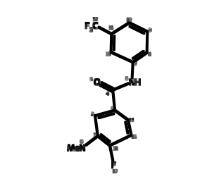 CNc1cc(C(=O)Nc2cccc(C(F)(F)F)c2)ccc1F